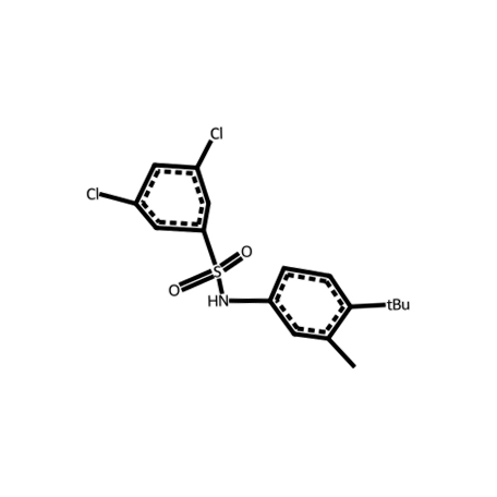 Cc1cc(NS(=O)(=O)c2cc(Cl)cc(Cl)c2)ccc1C(C)(C)C